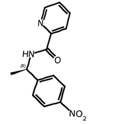 C[C@@H](NC(=O)c1ccccn1)c1ccc([N+](=O)[O-])cc1